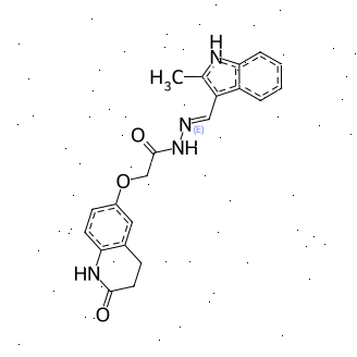 Cc1[nH]c2ccccc2c1/C=N/NC(=O)COc1ccc2c(c1)CCC(=O)N2